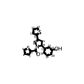 O=C(c1cccs1)N1N=C(c2cccs2)CC1c1cccc(O)c1